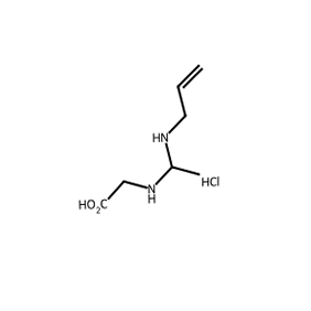 C=CCNC(C)NCC(=O)O.Cl